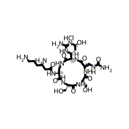 Cl.NCCC[C@H](N)CC(=O)N[C@H]1CNC(=O)[C@H]([C@H]2C[C@H](O)N=C(N)N2)NC(=O)/C(=C/NC(N)=O)NC(=O)[C@H](CO)NC(=O)[C@H](CO)NC1=O